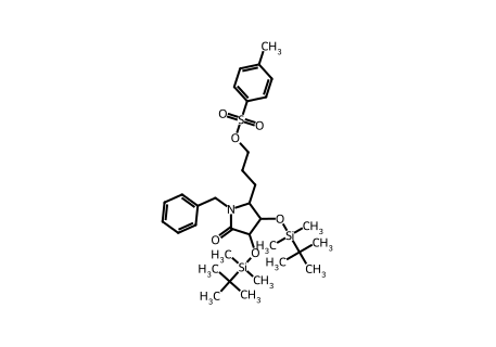 Cc1ccc(S(=O)(=O)OCCCC2C(O[Si](C)(C)C(C)(C)C)C(O[Si](C)(C)C(C)(C)C)C(=O)N2Cc2ccccc2)cc1